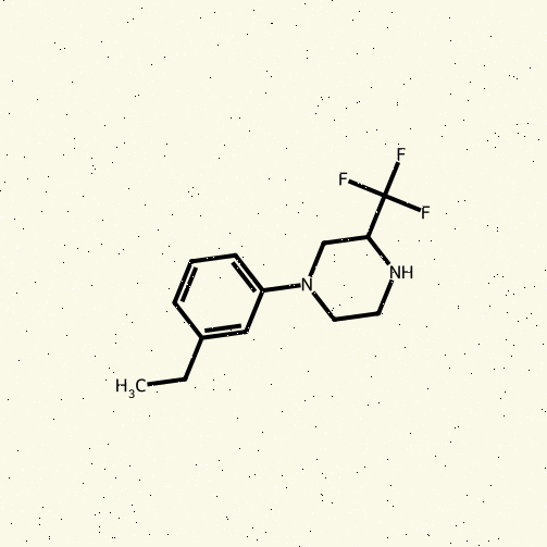 CCc1cccc(N2CCNC(C(F)(F)F)C2)c1